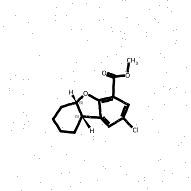 COC(=O)c1cc(Cl)cc2c1O[C@H]1CCCC[C@@H]21